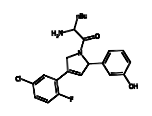 CCCCC(N)C(=O)N1CC(c2cc(Cl)ccc2F)=CC1c1cccc(O)c1